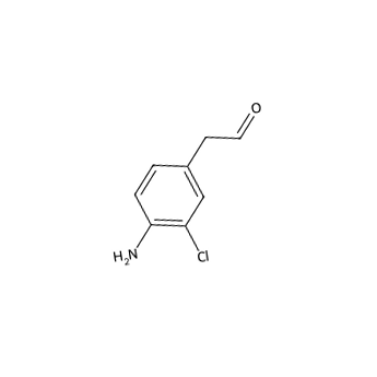 Nc1ccc(CC=O)cc1Cl